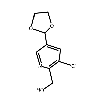 OCc1ncc(C2OCCO2)cc1Cl